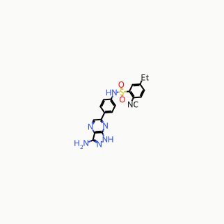 CCc1ccc(C#N)c(S(=O)(=O)Nc2ccc(-c3cnc4c(N)n[nH]c4n3)cc2)c1